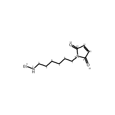 CCNCCCCCCN1C(=O)C=CC1=O